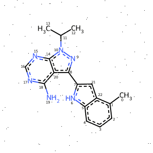 Cc1cccc2[nH]c(-c3nn(C(C)C)c4ncnc(N)c34)cc12